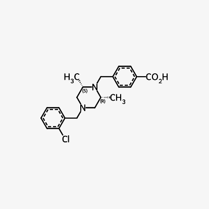 C[C@@H]1CN(Cc2ccccc2Cl)C[C@H](C)N1Cc1ccc(C(=O)O)cc1